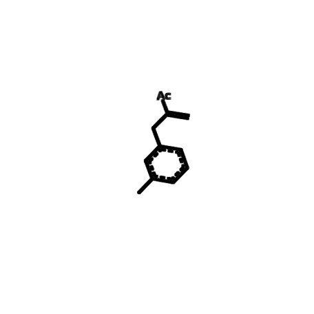 C=C(Cc1cccc(C)c1)C(C)=O